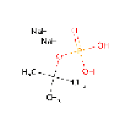 CC(C)(C)OP(=O)(O)O.[NaH].[NaH]